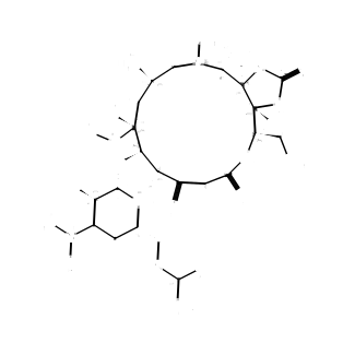 CC[C@H]1OC(=O)CC(=O)[C@H](C)[C@@H](O[C@@H]2O[C@H](CNC(C)C)CC(N(C)C)[C@H]2O)[C@](C)(OC)C[C@@H](C)CN(C)[C@H](C)[C@H]2NC(=O)O[C@@]21C